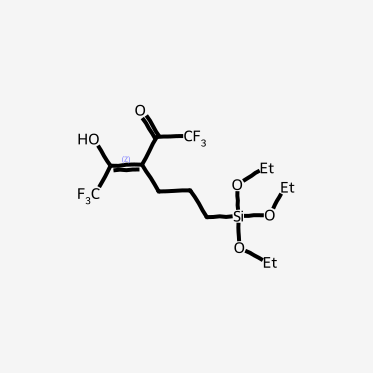 CCO[Si](CCC/C(C(=O)C(F)(F)F)=C(/O)C(F)(F)F)(OCC)OCC